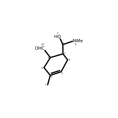 CNC(O)C1CC=C(C)CC1C=O